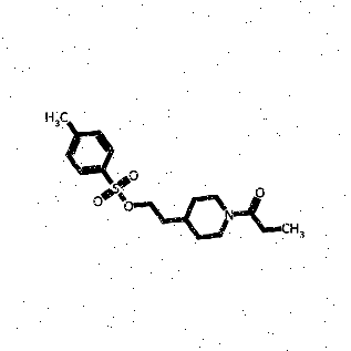 CCC(=O)N1CCC(CCOS(=O)(=O)c2ccc(C)cc2)CC1